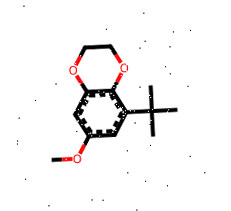 COc1cc2c(c(C(C)(C)C)c1)OCCO2